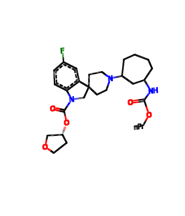 CCCOC(=O)NC1CCCCC(N2CCC3(CC2)CN(C(=O)O[C@@H]2CCOC2)c2ccc(F)cc23)C1